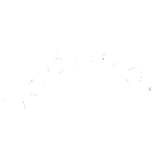 COC(=O)c1ccc(-c2cc(C(F)(F)F)c3oc(CNC(=O)/C=C/c4ccc(N)nc4)cc3c2)cc1